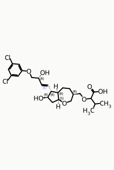 CC(C)C(OC[C@@H]1CC[C@@H]2[C@@H](/C=C/[C@@H](O)COc3cc(Cl)cc(Cl)c3)[C@H](O)C[C@@H]2OC1)C(=O)O